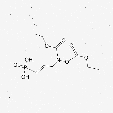 CCOC(=O)ON(CC=CP(=O)(O)O)C(=O)OCC